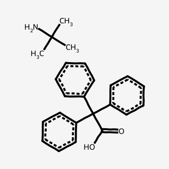 CC(C)(C)N.O=C(O)C(c1ccccc1)(c1ccccc1)c1ccccc1